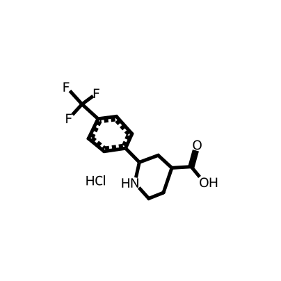 Cl.O=C(O)C1CCNC(c2ccc(C(F)(F)F)cc2)C1